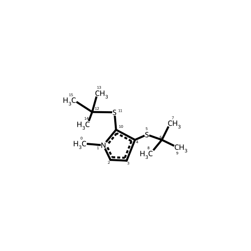 Cn1ccc(SC(C)(C)C)c1SC(C)(C)C